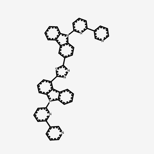 c1cncc(-c2cccc(-n3c4ccccc4c4cc(-c5nnc(-c6cccc7c6c6ccccc6n7-c6cccc(-c7cccnc7)n6)s5)ccc43)n2)c1